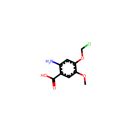 COc1cc(C(=O)O)c(N)cc1OCCl